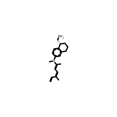 C=C/C(C)=C\C=C(/C)N(C)c1ccc2c(c1)CCC[C@H]2CN